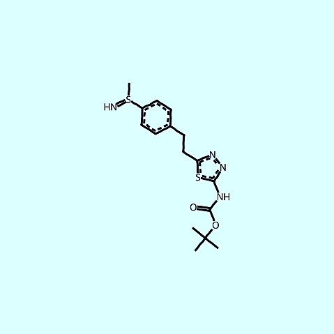 CS(=N)c1ccc(CCc2nnc(NC(=O)OC(C)(C)C)s2)cc1